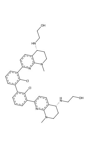 CN1CC[C@@H](NCCO)c2ccc(-c3cccc(-c4cccc(-c5ccc6c(n5)N(C)CC[C@H]6NCCO)c4Cl)c3Cl)nc21